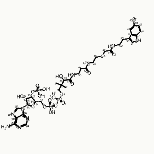 CC(C)(COP(=O)(O)OP(=O)(O)OC[C@H]1O[C@@H](n2cnc3c(N)ncnc32)[C@H](O)[C@@H]1OP(=O)(O)O)[C@@H](O)C(=O)NCCC(=O)NCCSCC(=O)NCCc1c[nH]c2ccc(Br)cc12